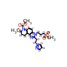 COC(=O)N1c2ccc3c(nc(CCn4cccn4)n3CCCS(C)(=O)=O)c2CC[C@@H]1C